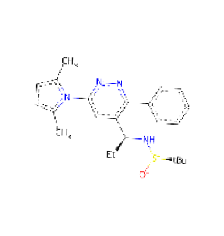 CC[C@H](N[S@+]([O-])C(C)(C)C)c1cc(-n2c(C)ccc2C)nnc1-c1ccccc1